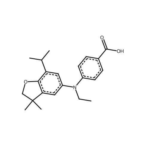 CCN(c1ccc(C(=O)O)cc1)c1cc(C(C)C)c2c(c1)C(C)(C)CO2